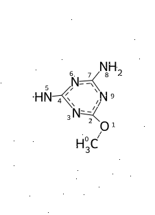 COc1nc([NH])nc(N)n1